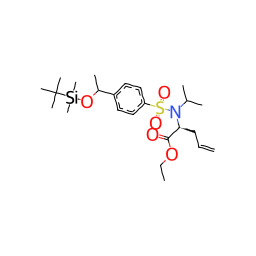 C=CC[C@@H](C(=O)OCC)N(C(C)C)S(=O)(=O)c1ccc(C(C)O[Si](C)(C)C(C)(C)C)cc1